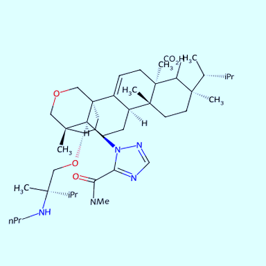 CCCN[C@@](C)(CO[C@H]1[C@H](n2ncnc2C(=O)NC)C[C@@]23COC[C@]1(C)[C@@H]2CC[C@H]1C3=CC[C@@]2(C)C(C(=O)O)[C@@](C)([C@H](C)C(C)C)CC[C@]12C)C(C)C